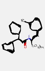 N#Cc1cccc(CC(NC(=O)C(c2ccccc2)c2ccccc2)C(=O)O)c1